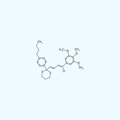 CCCCc1ccc(C2(/C=C/C=C(\Cl)c3cc(OC)c(OC)c(OC)c3)SCCCS2)cc1